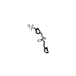 Cc1ccc(CCNC(=O)CCc2ccccc2)cc1